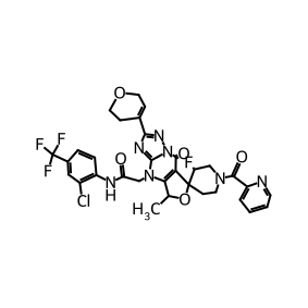 CC1OC2(CCN(C(=O)c3ccccn3)CC2F)c2c1n(CC(=O)Nc1ccc(C(F)(F)F)cc1Cl)c1nc(C3=CCOCC3)nn1c2=O